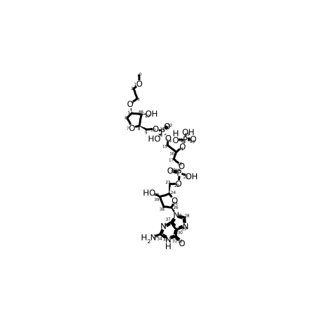 COCCO[C@H]1CO[C@H](COP(=O)(O)OCC(COP(=O)(O)OC[C@H]2O[C@@H](n3cnc4c(=O)[nH]c(N)nc43)CC2O)OP(=O)(O)O)[C@H]1O